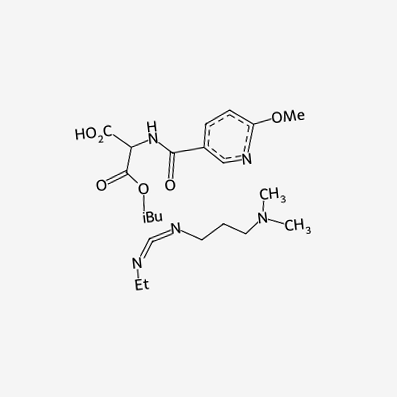 CCC(C)OC(=O)C(NC(=O)c1ccc(OC)nc1)C(=O)O.CCN=C=NCCCN(C)C